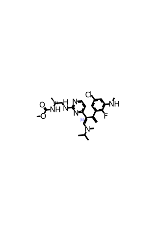 C=C(/C(=C\N(C)C(C)C)c1ccnc(NC[C@H](C)NC(=O)OC)n1)c1cc(Cl)cc(NC)c1F